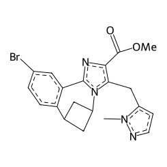 COC(=O)c1nc2n(c1Cc1ccnn1C)C1CC(C1)c1ccc(Br)cc1-2